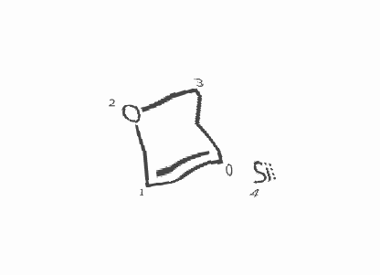 C1=COC1.[Si]